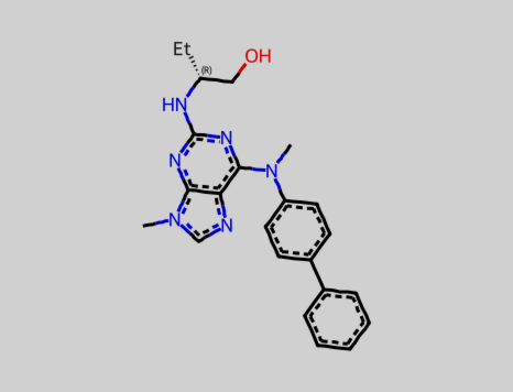 CC[C@H](CO)Nc1nc(N(C)c2ccc(-c3ccccc3)cc2)c2ncn(C)c2n1